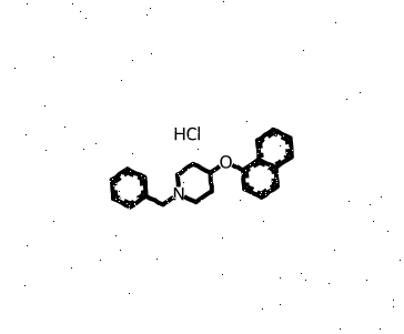 Cl.c1ccc(CN2CCC(Oc3cccc4ccccc34)CC2)cc1